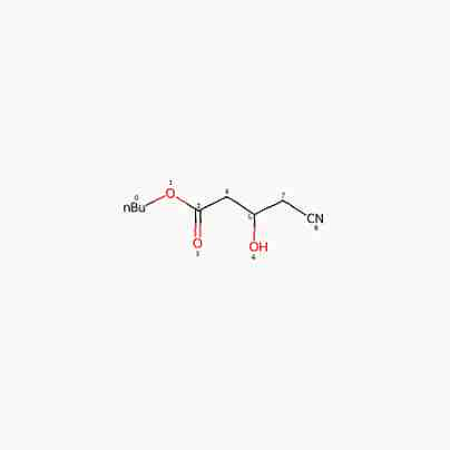 CCCCOC(=O)CC(O)CC#N